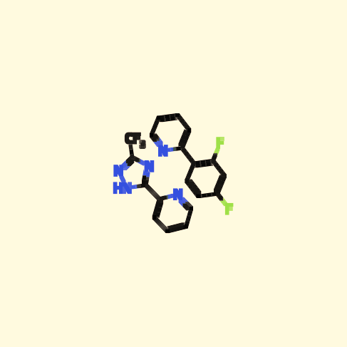 FC(F)(F)c1n[nH]c(-c2ccccn2)n1.Fc1ccc(-c2ccccn2)c(F)c1